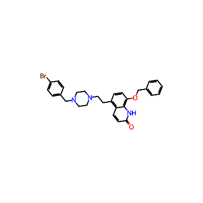 O=c1ccc2c(CCN3CCN(Cc4ccc(Br)cc4)CC3)ccc(OCc3ccccc3)c2[nH]1